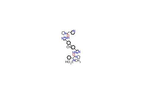 Cc1cc(-c2cnc([C@@H]3CCCN3C(=O)Cc3cccnc3)[nH]2)ccc1-c1ccc(-c2cnc([C@@H]3CCCN3C(=O)[C@@H](c3ccccc3)N(C)C(=O)O)[nH]2)cc1